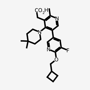 Cc1ncc(-c2cnc(OCC3CCC3)c(F)c2)c(N2CCC(C)(C)CC2)c1CC(=O)O